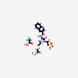 CS(=O)(=O)CC(=O)NC(=O)[C@H](CCCSCC(=O)C(F)(F)F)NCc1cnc2ccccc2c1.O=C(O)C(F)(F)F